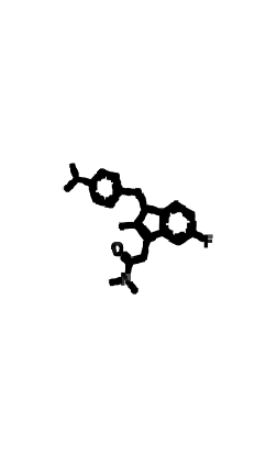 CC1=C(CC(=O)N(C)C)c2cc(F)ccc2C1Cc1ccc(C(C)C)cc1